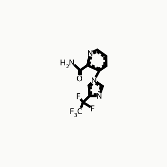 NC(=O)c1ncccc1-n1cnc(C(F)(F)C(F)(F)F)c1